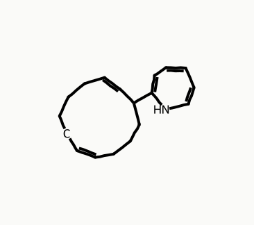 C1=CC=C(C2C=CCCCCC=CCCC2)NC=C1